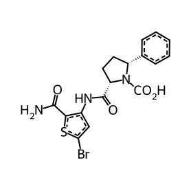 NC(=O)c1sc(Br)cc1NC(=O)[C@@H]1CC[C@H](c2ccccc2)N1C(=O)O